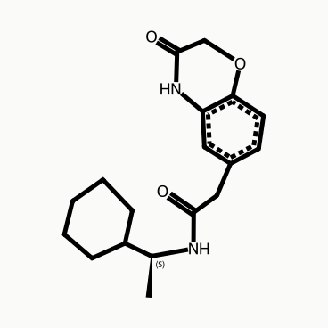 C[C@H](NC(=O)Cc1ccc2c(c1)NC(=O)CO2)C1CCCCC1